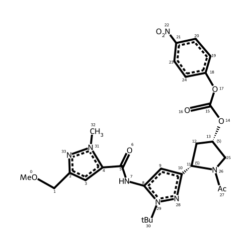 COCc1cc(C(=O)Nc2cc([C@@H]3C[C@H](OC(=O)Oc4ccc([N+](=O)[O-])cc4)CN3C(C)=O)nn2C(C)(C)C)n(C)n1